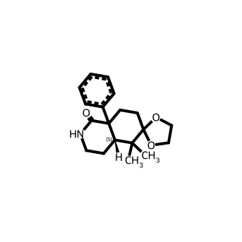 CC1(C)[C@@H]2CCNC(=O)C2(c2ccccc2)CCC12OCCO2